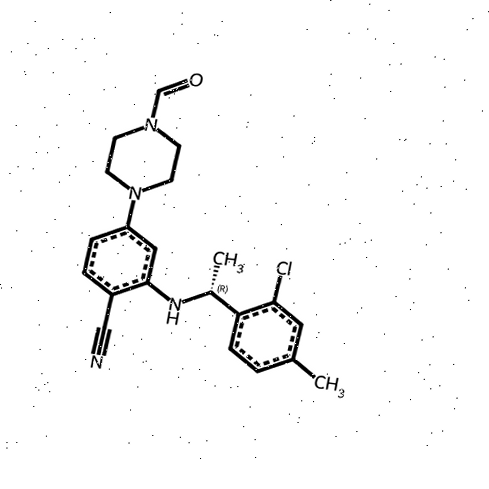 Cc1ccc([C@@H](C)Nc2cc(N3CCN(C=O)CC3)ccc2C#N)c(Cl)c1